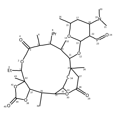 CCC1OC(=O)C(C)C(C(C)C)C(C)C(OC2OC(C)CC(N(C)C)C2P=O)C2(C)CC(=O)OC(C(C)C2)C(C)C2OC(=O)OC12C